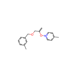 C=C(COCc1cccc(C)c1)O[n+]1ccc(C)cc1